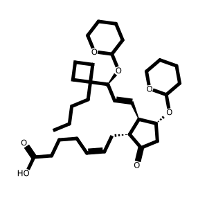 CCCCC1([C@H](/C=C/[C@H]2[C@H](OC3CCCCO3)CC(=O)[C@@H]2C/C=C\CCCC(=O)O)OC2CCCCO2)CCC1